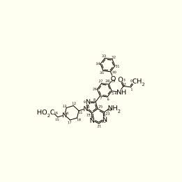 C=CC(=O)Nc1cc(-c2nn(C3CCN(CC(=O)O)CC3)c3ncnc(N)c23)ccc1Oc1ccccc1